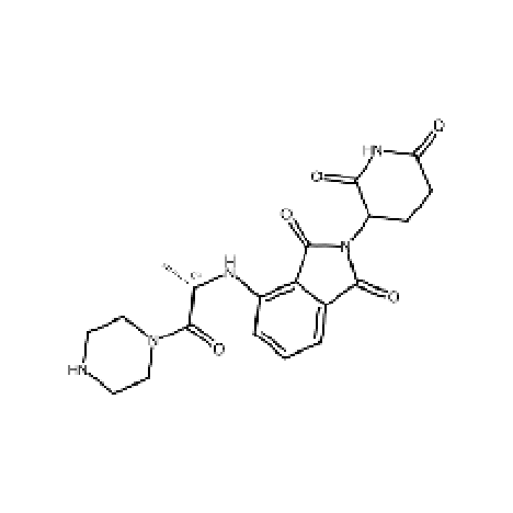 C[C@H](Nc1cccc2c1C(=O)N(C1CCC(=O)NC1=O)C2=O)C(=O)N1CCNCC1